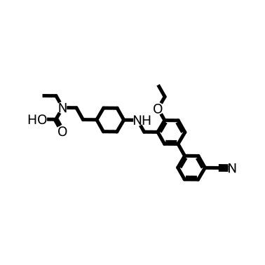 CCOc1ccc(-c2cccc(C#N)c2)cc1CNC1CCC(CCN(CC)C(=O)O)CC1